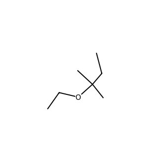 CCOC(C)(C)CC